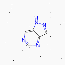 [c]1ncc2[nH]ncc2n1